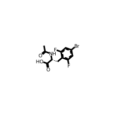 CC(=O)N[C@H](Cc1c(F)cc(Br)cc1F)C(=O)O